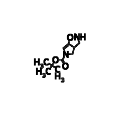 CC(C)(C)OC(=O)N1C=C2ONCC2C1